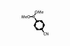 COB(OC)c1ccc(C#N)cc1